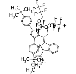 Cc1ccc(C2=N/C(=C(/CC(C)C(F)(F)F)c3c(-c4ccc(C(C)(C)C)cc4)cc(-c4ccc(C(C)(C)C)cc4)n3B(OCC(F)(F)C(F)(F)F)OCC(F)(F)C(F)(F)F)c3ccccc32)cc1